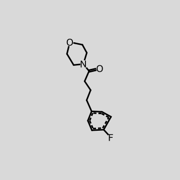 O=C(CCCc1ccc(F)cc1)N1CCOCC1